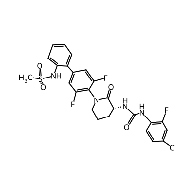 CS(=O)(=O)Nc1ccccc1-c1cc(F)c(N2CCC[C@@H](NC(=O)Nc3ccc(Cl)cc3F)C2=O)c(F)c1